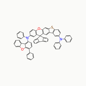 c1ccc(-c2ccc(N(c3ccccc3)c3ccc4c(c3)C3(c5cc6c(cc5O4)sc4ccc(N(c5ccccc5)c5ccccc5)cc46)c4ccccc4-c4ccccc43)c3c2oc2ccccc23)cc1